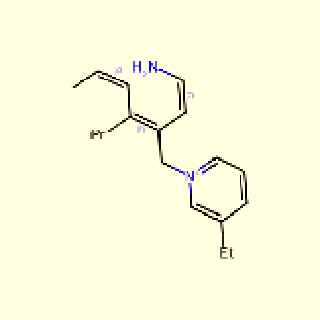 C\C=C/C(=C(\C=C/N)C[n+]1cccc(CC)c1)C(C)C